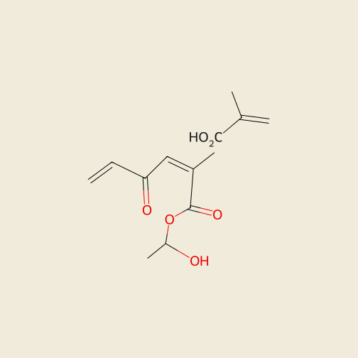 C=C(C)C(=O)O.C=CC(=O)C=C(C)C(=O)OC(C)O